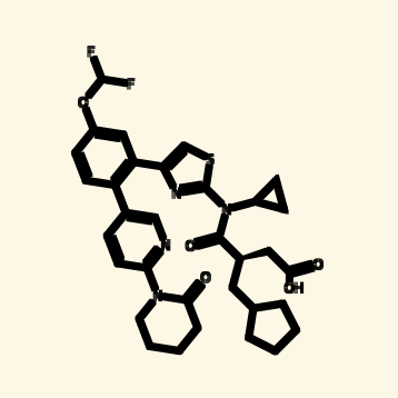 O=C(O)C[C@@H](CC1CCCC1)C(=O)N(c1nc(-c2cc(OC(F)F)ccc2-c2ccc(N3CCCCC3=O)nc2)cs1)C1CC1